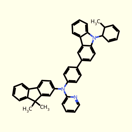 CC1C=CC=CC1n1c2ccccc2c2cc(-c3ccc(N(c4ccc5c(c4)C(C)(C)c4ccccc4-5)c4ccccn4)cc3)ccc21